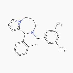 Cc1ccccc1C1c2cccn2CCCN1Cc1cc(C(F)(F)F)cc(C(F)(F)F)c1